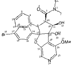 CCN(C)C(=O)[C@@H]1C(c2ccccc2)C2(c3ccc(Br)cc3)Oc3cncc(OC)c3C2(O)[C@@H]1O